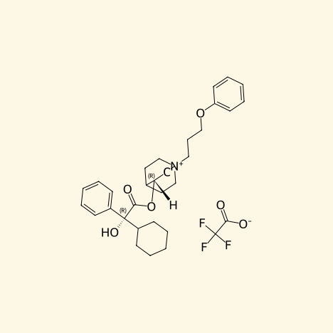 O=C(O[C@H]1C[N+]2(CCCOc3ccccc3)CCC1CC2)[C@](O)(c1ccccc1)C1CCCCC1.O=C([O-])C(F)(F)F